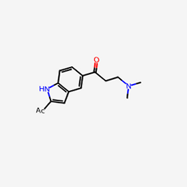 CC(=O)c1cc2cc(C(=O)CCN(C)C)ccc2[nH]1